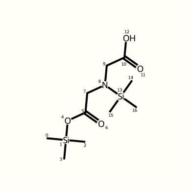 C[Si](C)(C)OC(=O)CN(CC(=O)O)[Si](C)(C)C